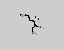 CCCCC(C)CC.CCO